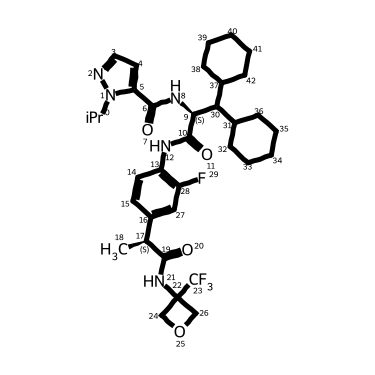 CC(C)n1nccc1C(=O)N[C@H](C(=O)Nc1ccc([C@H](C)C(=O)NC2(C(F)(F)F)COC2)cc1F)C(C1CCCCC1)C1CCCCC1